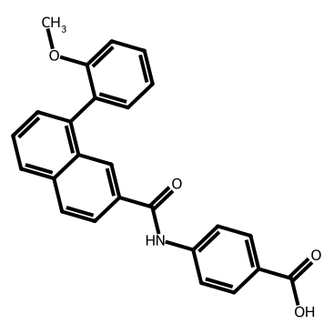 COc1ccccc1-c1cccc2ccc(C(=O)Nc3ccc(C(=O)O)cc3)cc12